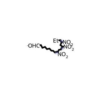 CC/C=C(\C/C(=C\C/C(=C\CCCCCCC[C]=O)[N+](=O)[O-])[N+](=O)[O-])[N+](=O)[O-]